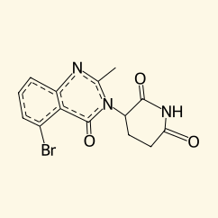 Cc1nc2cccc(Br)c2c(=O)n1C1CCC(=O)NC1=O